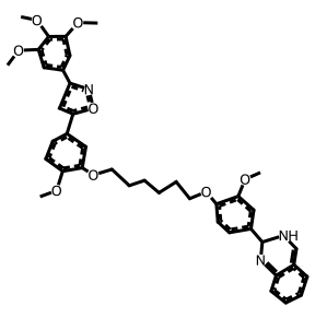 COc1cc(C2N=c3ccccc3=CN2)ccc1OCCCCCCOc1cc(-c2cc(-c3cc(OC)c(OC)c(OC)c3)no2)ccc1OC